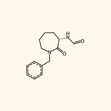 O=[C]N[C@H]1CCCCN(Cc2ccccc2)C1=O